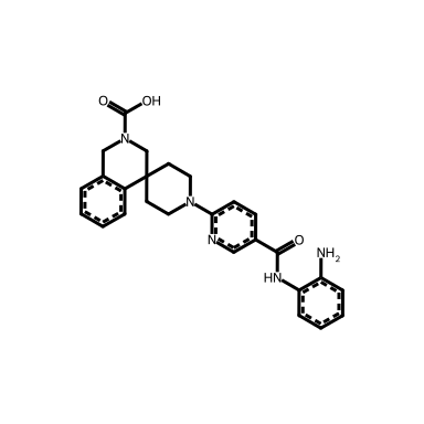 Nc1ccccc1NC(=O)c1ccc(N2CCC3(CC2)CN(C(=O)O)Cc2ccccc23)nc1